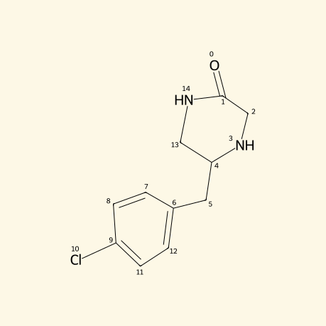 O=C1CNC(Cc2ccc(Cl)cc2)CN1